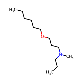 CCCCCCOCCCN(C)CCC